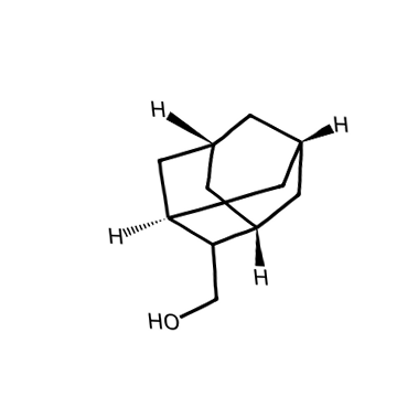 OCC1[C@H]2C[C@H]3C[C@H](C2)C[C@H]1C3